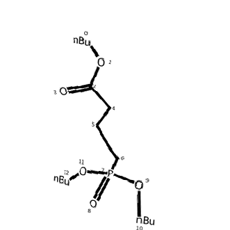 CCCCOC(=O)CCCP(=O)(OCCCC)OCCCC